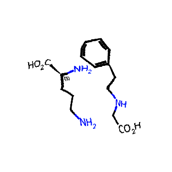 NCCC[C@H](N)C(=O)O.O=C(O)CNCCc1ccccc1